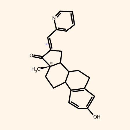 C[C@]12CCC3c4ccc(O)cc4CCC3C1C/C(=C\c1ccccn1)C2=O